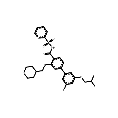 CC(C)COc1cc(F)cc(-c2ccc(C(=O)NS(=O)(=O)c3ccccn3)c(OCC3CCOCC3)n2)c1